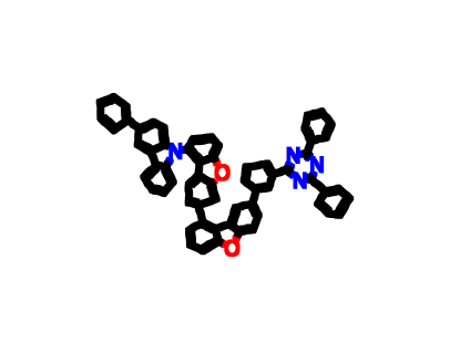 c1ccc(-c2ccc3c(c2)c2ccccc2n3-c2cccc3oc4cc(-c5cccc6oc7ccc(-c8cccc(-c9nc(-c%10ccccc%10)nc(-c%10ccccc%10)n9)c8)cc7c56)ccc4c23)cc1